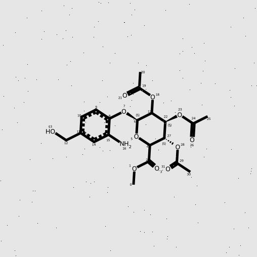 COC(=O)C1O[C@@H](Oc2ccc(CO)cc2N)C(OC(C)=O)[C@@H](OC(C)=O)[C@@H]1OC(C)=O